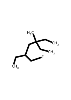 CCC(CF)CC(C)(CC)CC